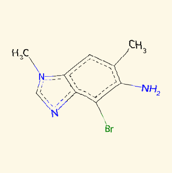 Cc1cc2c(ncn2C)c(Br)c1N